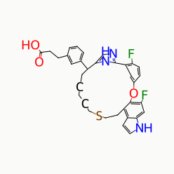 O=C(O)CCc1cccc(C2CCCCCSCCc3c(c(F)cc4[nH]ccc34)Oc3ccc(F)c(c3)-c3ncc2[nH]3)c1